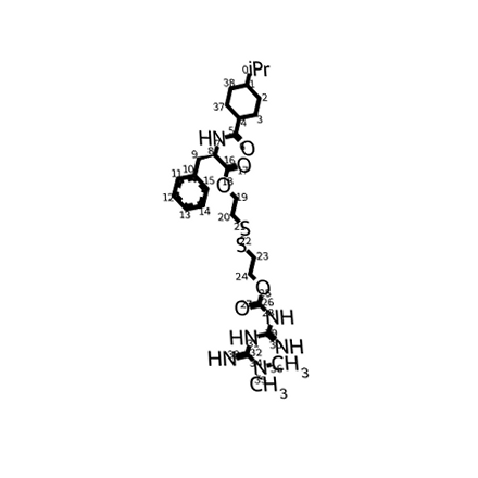 CC(C)C1CCC(C(=O)N[C@H](Cc2ccccc2)C(=O)OCCSSCCOC(=O)NC(=N)NC(=N)N(C)C)CC1